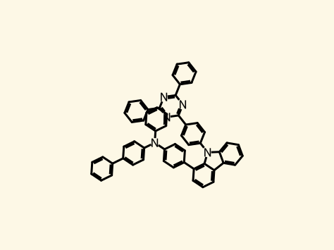 c1ccc(-c2ccc(N(c3ccccc3)c3ccc(-c4cccc5c6ccccc6n(-c6ccc(-c7nc(-c8ccccc8)nc(-c8ccccc8)n7)cc6)c45)cc3)cc2)cc1